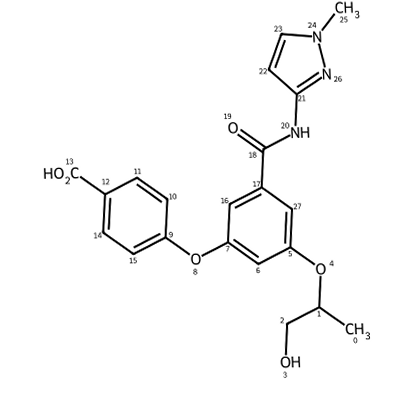 CC(CO)Oc1cc(Oc2ccc(C(=O)O)cc2)cc(C(=O)Nc2ccn(C)n2)c1